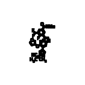 CNC(=O)c1cc(-c2cnc3cc(-c4cnn(C(C)(C)C#N)c4)c(OC4CCOC4)nn23)c(F)c(C(F)F)c1